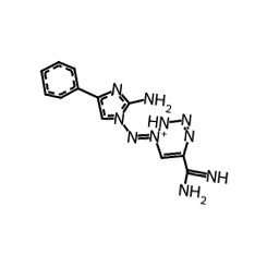 N=C(N)C1=C[N+](=Nn2cc(-c3ccccc3)nc2N)NN=N1